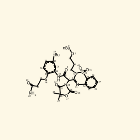 CCCCOCCCN1C(C(C(=O)Nc2cc(C(C)(C)C)ccc2SCCC(N)=O)N2C(=O)OC(C)(C)C2=O)=Nc2ccccc2S1(=O)=O